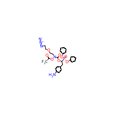 [N-]=[N+]=NCCOCCN(OC(=O)C(F)(F)F)C(=O)OC(Cc1ccc(N)cc1)P(=O)(Oc1ccccc1)Oc1ccccc1